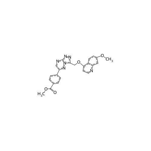 COC(=O)c1ccc(-c2cnc3nnc(COc4ccnc5cc(OC)ccc45)n3n2)cc1